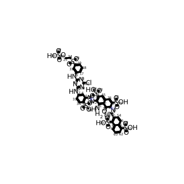 Nc1c(/N=N/c2cc(Nc3nc(Cl)nc(Nc4cccc(S(=O)(=O)CCOS(=O)(=O)O)c4)n3)ccc2S(=O)(=O)O)c(S(=O)(=O)O)cc2c1C(=O)/C(=N\Nc1ccc3c(S(=O)(=O)O)cccc3c1S(=O)(=O)O)C(S(=O)(=O)O)=C2